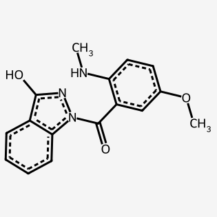 CNc1ccc(OC)cc1C(=O)n1nc(O)c2ccccc21